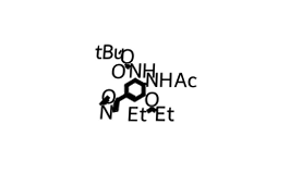 CCC(CC)O[C@@H]1C=C(c2cnco2)C[C@H](NC(=O)OC(C)(C)C)[C@H]1NC(C)=O